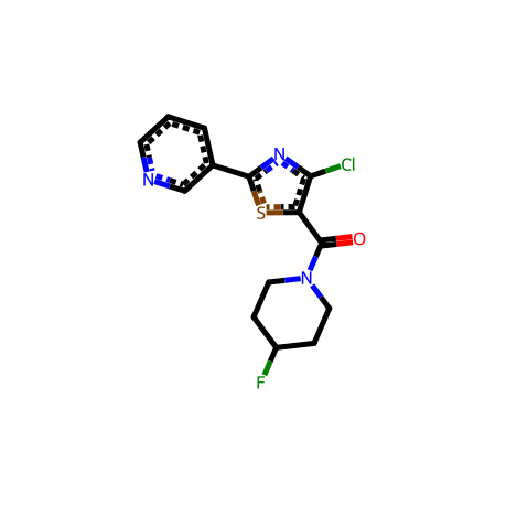 O=C(c1sc(-c2cccnc2)nc1Cl)N1CCC(F)CC1